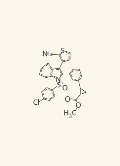 COC(=O)C1CC1c1cccc(-c2c(-c3ccsc3C#N)c3ccccc3n2[S+]([O-])c2ccc(Cl)cc2)c1